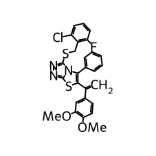 C=C(c1ccc(OC)c(OC)c1)c1sc2nnc(SCc3c(F)cccc3Cl)n2c1-c1ccccc1